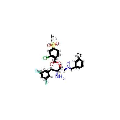 CCc1cccc(CNC[C@@H](OC(=O)c2ccc(S(C)(=O)=O)cc2Cl)[C@@H](N)Cc2cc(F)cc(F)c2)c1